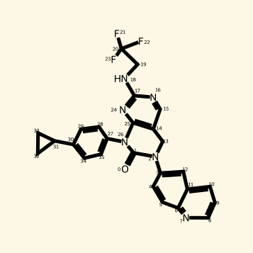 O=C1N(c2ccc3ncccc3c2)Cc2cnc(NCC(F)(F)F)nc2N1c1ccc(C2CC2)cc1